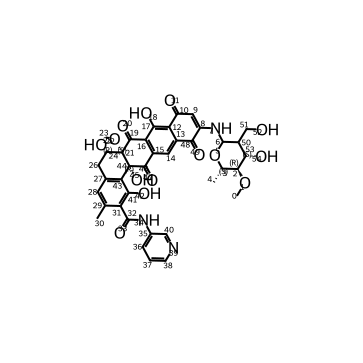 CO[C@H]1[C@H](C)OC(NC2=CC(=O)c3c(cc4c(c3O)C(=O)[C@]3(OC)[C@H](O)Cc5cc(C)c(C(=O)Nc6cccnc6)c(O)c5[C@]3(O)C4=O)C2=O)C(CO)[C@@H]1O